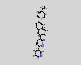 FC(F)(F)c1ccc(-c2ccc3cc(-c4ccc(-c5cccnc5)nc4)ccc3c2)cc1